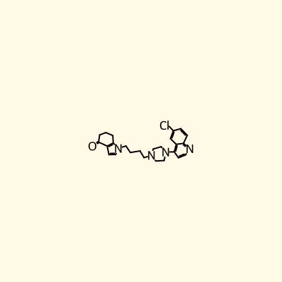 O=C1CCCc2c1ccn2CCCCN1CCN(c2ccnc3ccc(Cl)cc23)CC1